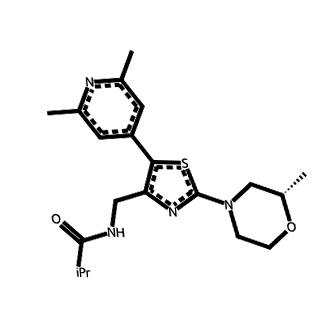 Cc1cc(-c2sc(N3CCO[C@@H](C)C3)nc2CNC(=O)C(C)C)cc(C)n1